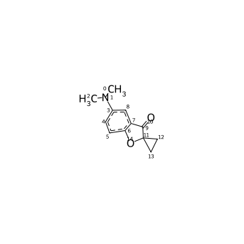 CN(C)c1ccc2c(c1)C(=O)C1(CC1)O2